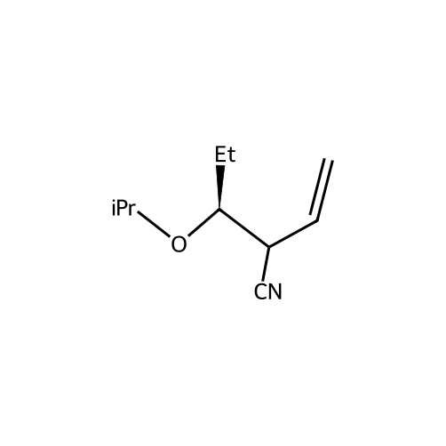 C=CC(C#N)[C@H](CC)OC(C)C